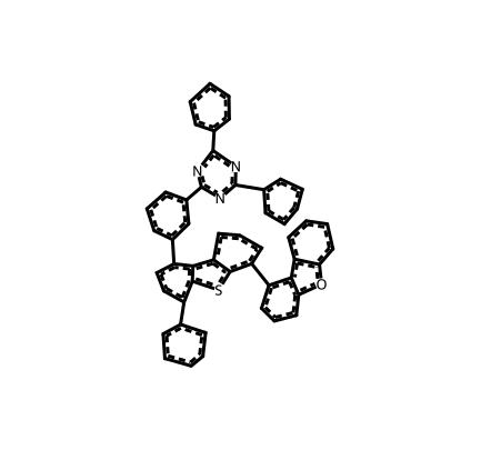 c1ccc(-c2nc(-c3ccccc3)nc(-c3cccc(-c4ccc(-c5ccccc5)c5sc6c(-c7cccc8oc9ccccc9c78)cccc6c45)c3)n2)cc1